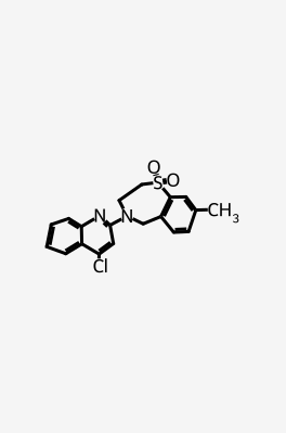 Cc1ccc2c(c1)S(=O)(=O)CCN(c1cc(Cl)c3ccccc3n1)C2